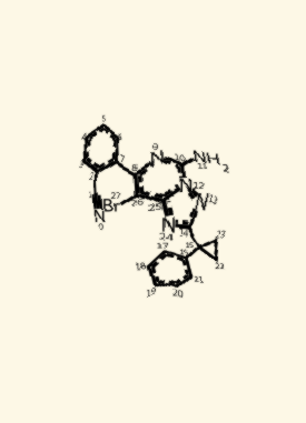 N#Cc1ccccc1-c1nc(N)n2nc(C3(c4ccccc4)CC3)nc2c1Br